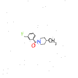 CC1CCN(C(=O)c2cccc(CF)c2)CC1